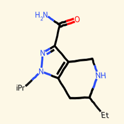 CCC1Cc2c(c(C(N)=O)nn2C(C)C)CN1